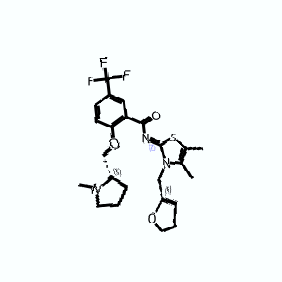 Cc1s/c(=N\C(=O)c2cc(C(F)(F)F)ccc2OC[C@@H]2CCCN2C)n(C[C@H]2CCCO2)c1C